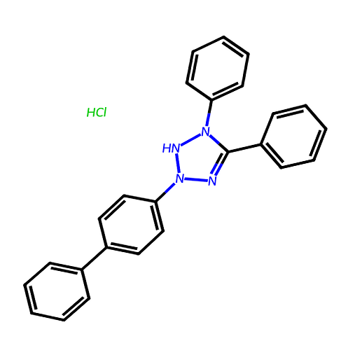 Cl.c1ccc(C2=NN(c3ccc(-c4ccccc4)cc3)NN2c2ccccc2)cc1